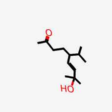 CC(=O)CCC(C=CC(C)(C)O)C(C)C